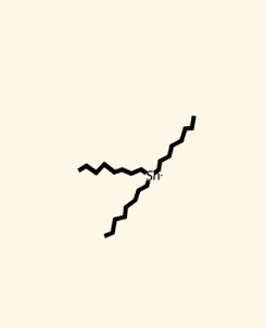 CCCCCCC[CH2][Sn]([CH2]CCCCCCC)[CH2]CCCCCCC